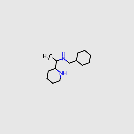 CC(NCC1CCCCC1)C1CCCCN1